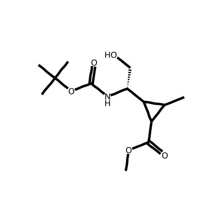 COC(=O)C1C(C)C1[C@@H](CO)NC(=O)OC(C)(C)C